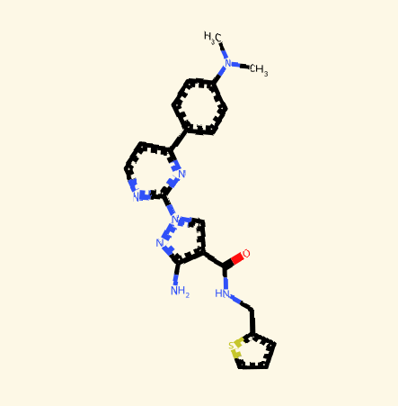 CN(C)c1ccc(-c2ccnc(-n3cc(C(=O)NCc4cccs4)c(N)n3)n2)cc1